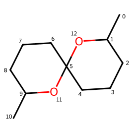 CC1CCCC2(CCCC(C)O2)O1